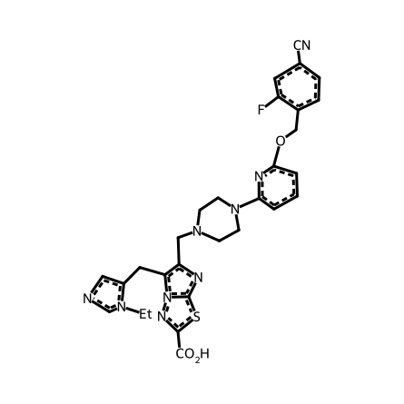 CCn1cncc1Cc1c(CN2CCN(c3cccc(OCc4ccc(C#N)cc4F)n3)CC2)nc2sc(C(=O)O)nn12